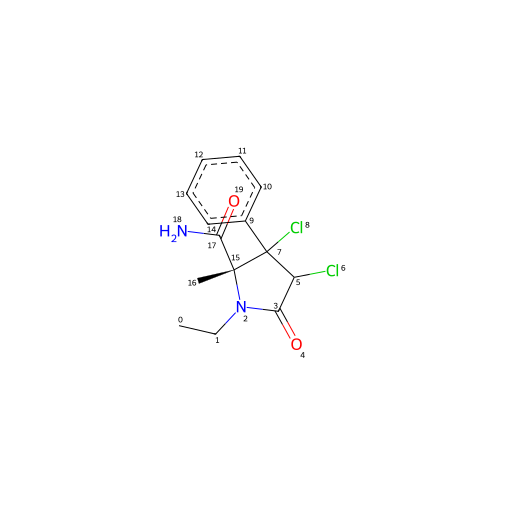 CCN1C(=O)C(Cl)C(Cl)(c2ccccc2)[C@@]1(C)C(N)=O